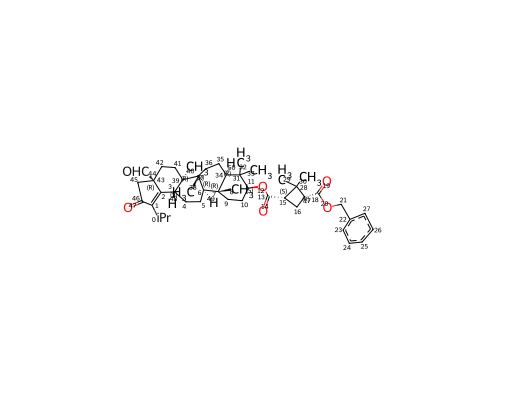 CC(C)C1=C2[C@H]3CC[C@@H]4[C@@]5(C)CC[C@H](OC(=O)[C@H]6C[C@@H](C(=O)OCc7ccccc7)C6(C)C)C(C)(C)[C@@H]5CC[C@@]4(C)[C@]3(C)CC[C@@]2(C=O)CC1=O